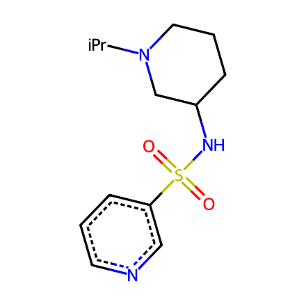 CC(C)N1CCCC(NS(=O)(=O)c2cccnc2)C1